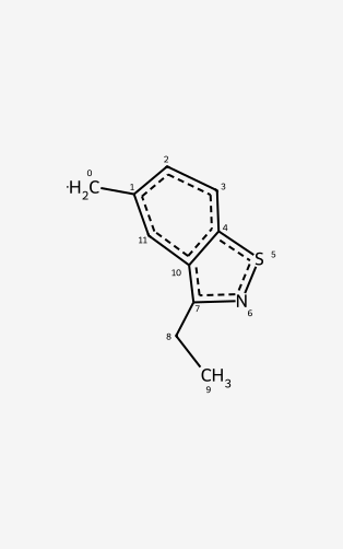 [CH2]c1ccc2snc(CC)c2c1